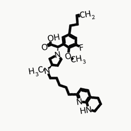 C=CCCc1cc(F)c(OC)c([C@@H](C(=O)O)N2CC[C@@H](N(C)CCCCCc3ccc4c(n3)NCCC4)C2)c1